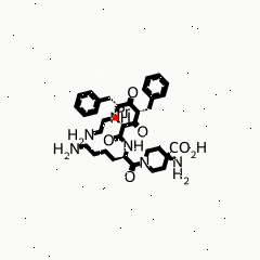 CC(C)C[C@@H](C(=O)N[C@H](CCCCN)C(=O)N1CCC(N)(C(=O)O)CC1)C(=O)[C@@H](Cc1ccccc1)C(=O)[C@@H](Cc1ccccc1)NCCN